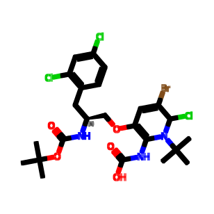 CC(C)(C)OC(=O)N[C@H](COC1=C(NC(=O)O)N(C(C)(C)C)C(Cl)C(Br)=C1)Cc1ccc(Cl)cc1Cl